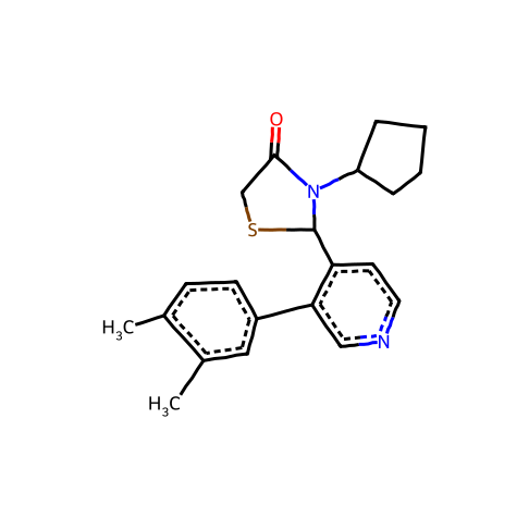 Cc1ccc(-c2cnccc2C2SCC(=O)N2C2CCCC2)cc1C